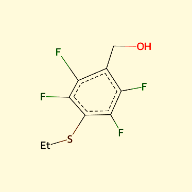 CCSc1c(F)c(F)c(CO)c(F)c1F